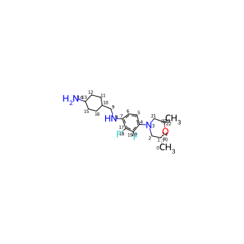 C[C@@H]1CN(c2ccc(NCC3CCC(N)CC3)c(F)c2F)C[C@H](C)O1